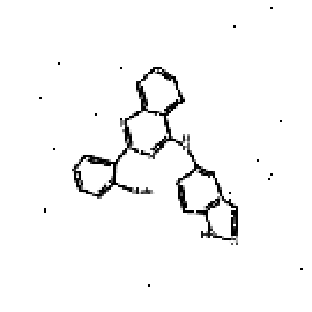 CNc1ccccc1-c1nc(Nc2ccc3[nH]ncc3c2)c2ccccc2n1